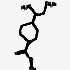 CCOC(=O)CC(N)C1CCN(C(=O)OC(C)(C)C)CC1